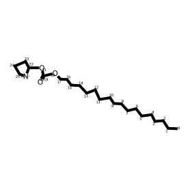 CCCCCCCCCCCCCCCCCCOC(=O)OC1CCC[N]1